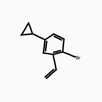 C=[C]c1cc(C2CC2)ccc1Br